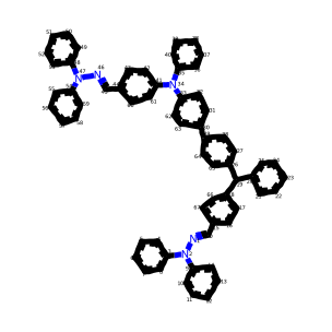 C(=NN(c1ccccc1)c1ccccc1)c1ccc(C(c2ccccc2)c2ccc(-c3ccc(N(c4ccccc4)c4ccc(C=NN(c5ccccc5)c5ccccc5)cc4)cc3)cc2)cc1